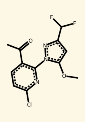 COc1cc(C(F)F)nn1-c1nc(Cl)ccc1C(C)=O